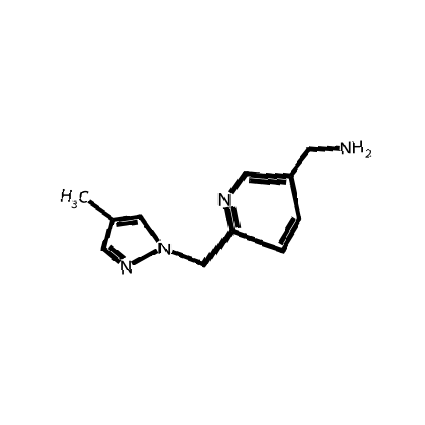 Cc1cnn(Cc2ccc(CN)cn2)c1